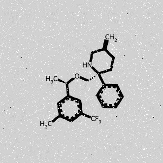 C=C1CC[C@@](CO[C@H](C)c2cc(C)cc(C(F)(F)F)c2)(c2ccccc2)NC1